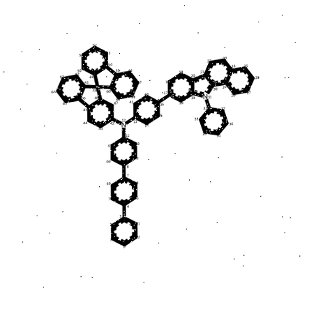 c1ccc(-c2ccc(-c3ccc(N(c4ccc(-c5ccc6c7ccc8ccccc8c7n(-c7ccccc7)c6c5)cc4)c4ccc5c(c4)C4(c6ccccc6-c6ccccc64)c4ccccc4-5)cc3)cc2)cc1